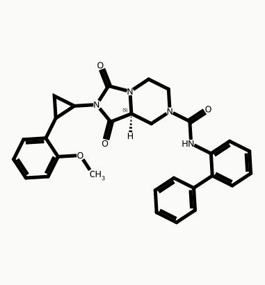 COc1ccccc1C1CC1N1C(=O)[C@@H]2CN(C(=O)Nc3ccccc3-c3ccccc3)CCN2C1=O